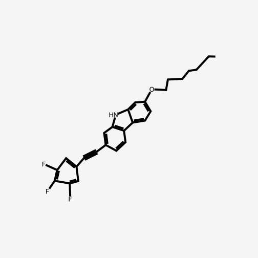 CCCCCCCOc1ccc2c(c1)[nH]c1cc(C#Cc3cc(F)c(F)c(F)c3)ccc12